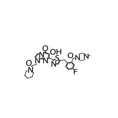 CN1CCN(C(=O)c2cc(F)ccc2Cc2cnc(-c3nc4n(CC(=O)N5CCCCC5)ccn4c(=O)c3O)s2)CC1